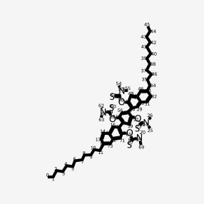 CCCCCCCCCCCCc1ccc2cc(-c3cc(OC(=S)N(C)C)c(-c4cc5ccc(CCCCCCCCCCCC)cc5cc4OC(=S)N(C)C)cc3OC(=S)N(C)C)c(OC(=S)N(C)C)cc2c1